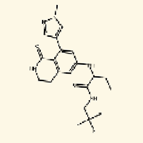 CCC(Nc1cc2c(c(-c3cnn(C)c3)c1)C(=O)NCC2)C(=O)NCC(F)(F)F